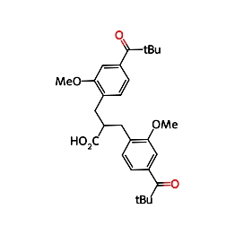 COc1cc(C(=O)C(C)(C)C)ccc1CC(Cc1ccc(C(=O)C(C)(C)C)cc1OC)C(=O)O